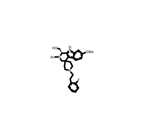 COc1ccc2c3c([nH]c2c1)[C@H](CO)N(C(C)=O)CC31CCN(CCc2ccccc2F)CC1